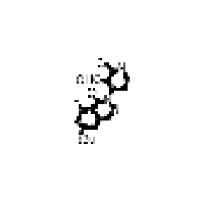 CC(C)(C)c1cc(F)c2c(=O)n(-c3ccnc(Cl)c3C=O)ncc2c1